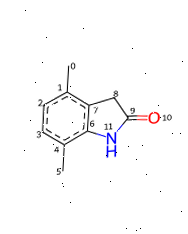 Cc1ccc(C)c2c1CC(=O)N2